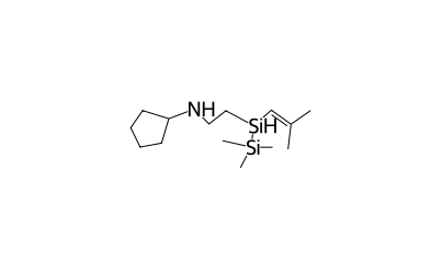 CC(C)=C[SiH](CCNC1CCCC1)[Si](C)(C)C